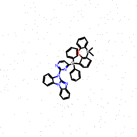 C[Si]1(C)c2ccccc2Oc2c1cccc2[Si](c1ccccc1)(c1ccccc1)c1ccnc(-n2c3ccccc3n3c4ccccc4nc23)n1